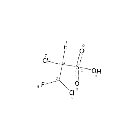 O=S(=O)(O)C(F)(Cl)C(F)Cl